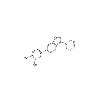 Oc1ccc(-c2ccc3c(-c4cccnc4)coc3c2)cc1O